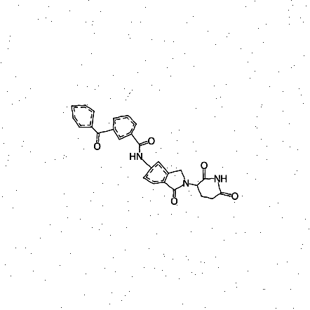 O=C1CCC(N2Cc3cc(NC(=O)c4cccc(C(=O)c5ccccc5)c4)ccc3C2=O)C(=O)N1